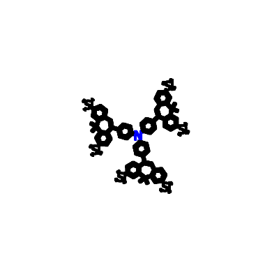 CC1(C)c2cc([Si](C)(C)C)ccc2C=C(c2ccc(N(c3ccc(C4=Cc5ccc([Si](C)(C)C)cc5C(C)(C)c5cc([Si](C)(C)C)ccc54)cc3)c3ccc(C4=Cc5ccc([Si](C)(C)C)cc5C(C)(C)c5cc([Si](C)(C)C)ccc54)cc3)cc2)c2ccc([Si](C)(C)C)cc21